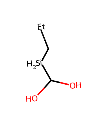 CCC[SiH2]C(O)O